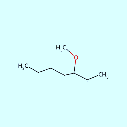 C[CH]C(CCCC)OC